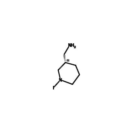 NC[C@@H]1CCCN(I)C1